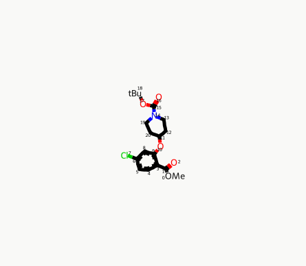 COC(=O)c1ccc(Cl)cc1OC1CCN(C(=O)OC(C)(C)C)CC1